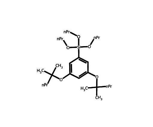 CCCO[Si](OCCC)(OCCC)c1cc(OC(C)(C)CCC)cc(OC(C)(C)CCC)c1